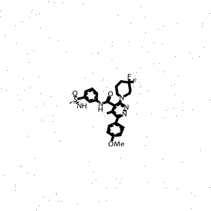 COc1ccc(-c2nnc(N3CCCC(F)(F)CC3)c(C(=O)Nc3cccc([S@@](C)(=N)=O)c3)c2C)cc1